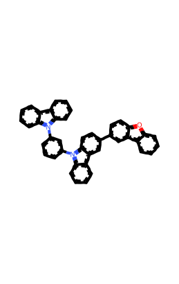 c1cc(-n2c3ccccc3c3ccccc32)cc(-n2c3ccccc3c3cc(-c4ccc5oc6ccccc6c5c4)ccc32)c1